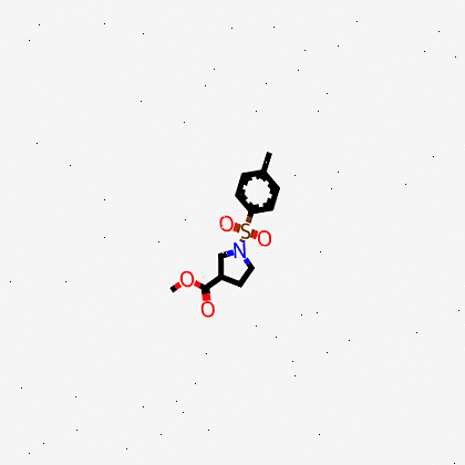 COC(=O)C1CCN(S(=O)(=O)c2ccc(C)cc2)C1